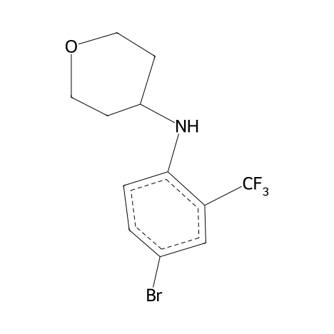 FC(F)(F)c1cc(Br)ccc1NC1CCOCC1